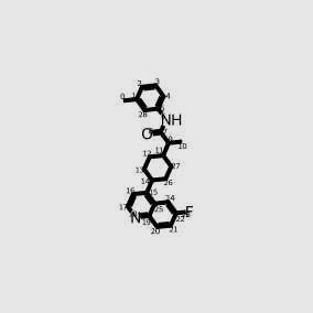 Cc1cccc(NC(=O)C(C)C2CCC(c3ccnc4ccc(F)cc34)CC2)c1